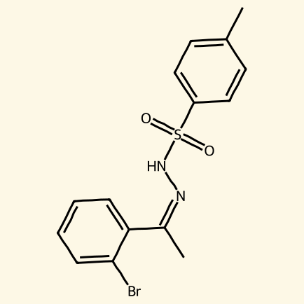 CC(=NNS(=O)(=O)c1ccc(C)cc1)c1ccccc1Br